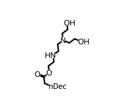 CCCCCCCCCCCC(=O)OCCNCCN(CCO)CCO